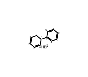 Br.C1=CCN(c2ccccc2)C=C1